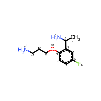 CC(N)c1cc(F)ccc1OCCCN